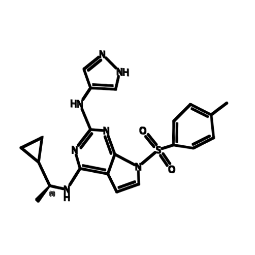 Cc1ccc(S(=O)(=O)n2ccc3c(N[C@@H](C)C4CC4)nc(Nc4cn[nH]c4)nc32)cc1